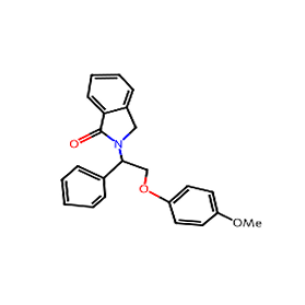 COc1ccc(OCC(c2ccccc2)N2Cc3ccccc3C2=O)cc1